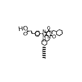 C=C.C=C.C=C.C=C.C=C.C=C.O=C(O)C=Cc1ccc(-c2nc3c(=O)n(CC4CCCCC4)c(=O)n(CC4CCCCC4)c3[nH]2)cc1